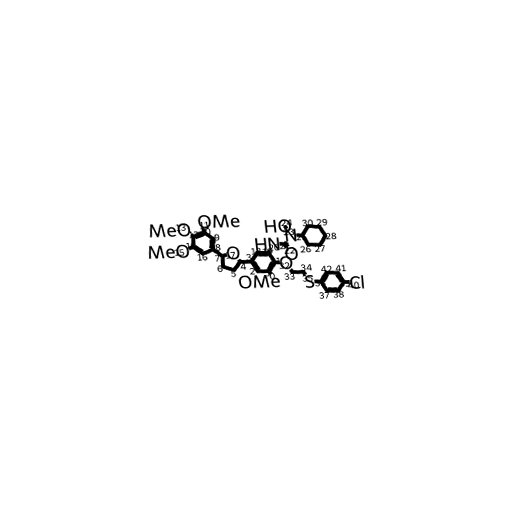 COc1cc(C2CCC(c3cc(OC)c(OC)c(OC)c3)O2)cc(NC(=O)N(O)C2CCCCC2)c1OCCSc1ccc(Cl)cc1